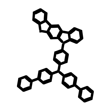 c1ccc(-c2ccc(N(c3ccc(-c4ccccc4)cc3)c3ccc(-n4c5ccccc5c5cc6c(cc54)sc4ccccc46)cc3)cc2)cc1